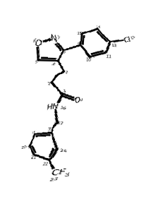 O=C(CCc1conc1-c1ccc(Cl)cc1)NCc1cccc(C(F)(F)F)c1